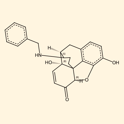 O=C1C=C[C@@]2(O)[C@H]3Cc4ccc(O)c5c4C2(CCC3NCc2ccccc2)[C@H]1O5